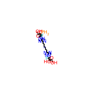 OC[C@H]1OC(n2cnc3c(CC/C=C/CCc4ncnc5c4ncn5[C@@H]4O[C@H](CO)[C@@H](OP)[C@H]4F)ncnc32)[C@H](F)[C@@H]1O